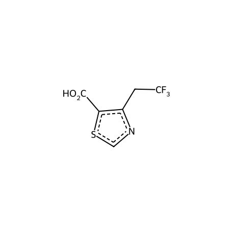 O=C(O)c1scnc1CC(F)(F)F